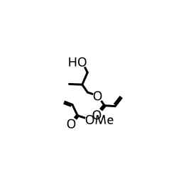 C=CC(=O)OC.C=CC(=O)OCC(C)CO